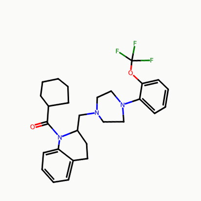 O=C(C1CCCCC1)N1c2ccccc2CCC1CN1CCN(c2ccccc2OC(F)(F)F)CC1